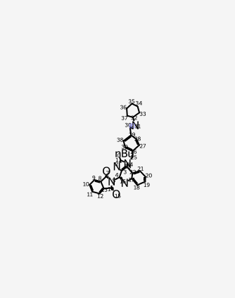 CCCCc1nc2c(N3C(=O)c4ccccc4C3=O)nc3ccccc3c2n1Cc1ccc(/C=N/C2CCCCC2)cc1